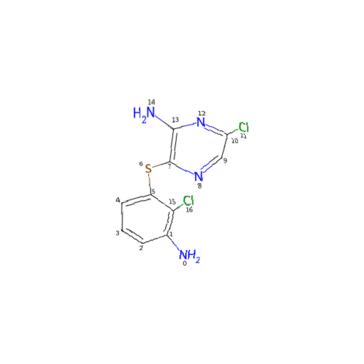 Nc1cccc(Sc2ncc(Cl)nc2N)c1Cl